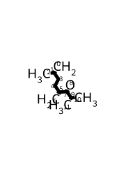 C=C(C)CCC(=C)C(=O)C(C)C